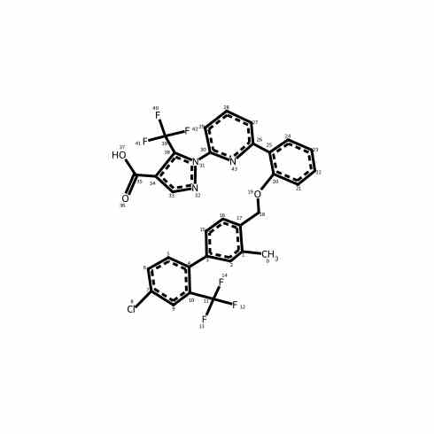 Cc1cc(-c2ccc(Cl)cc2C(F)(F)F)ccc1COc1ccccc1-c1cccc(-n2ncc(C(=O)O)c2C(F)(F)F)n1